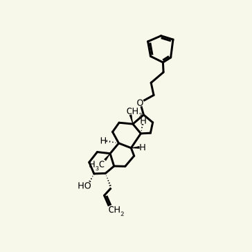 C=CC[C@H]1C2CC[C@@H]3[C@H](CC[C@]4(C)C(OCCCc5ccccc5)CC[C@@H]34)[C@@]2(C)CC[C@H]1O